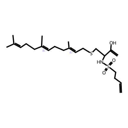 C=CCCS(=O)(=O)NC(CSC/C=C(\C)CC/C=C(\C)CCC=C(C)C)C(=C)O